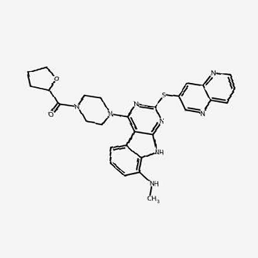 CNc1cccc2c1[nH]c1nc(Sc3cnc4cccnc4c3)nc(N3CCN(C(=O)C4CCCO4)CC3)c12